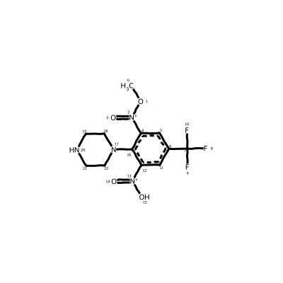 CO[N+](=O)c1cc(C(F)(F)F)cc([N+](=O)O)c1N1CCNCC1